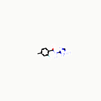 Cc1ccc(C(=O)Nc2nc[nH]n2)c(F)c1